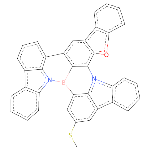 CSc1cc2c3c(c1)c1ccccc1n3-c1c3c(cc4c1oc1ccccc14)-c1cccc4c5ccccc5n(c14)B32